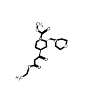 CCOC(=O)CC(=O)[C@H]1CCN(C(=O)OC)[C@H](CN2CCOCC2)C1